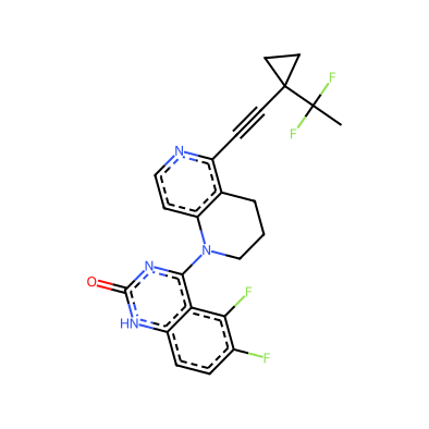 CC(F)(F)C1(C#Cc2nccc3c2CCCN3c2nc(=O)[nH]c3ccc(F)c(F)c23)CC1